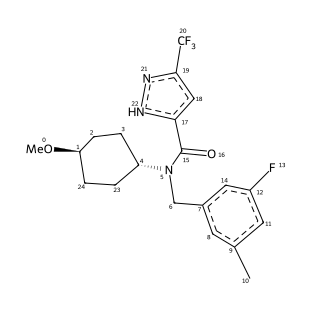 CO[C@H]1CC[C@H](N(Cc2cc(C)cc(F)c2)C(=O)c2cc(C(F)(F)F)n[nH]2)CC1